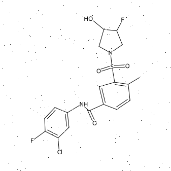 Cc1ccc(C(=O)Nc2ccc(F)c(Cl)c2)cc1S(=O)(=O)N1CC(O)C(F)C1